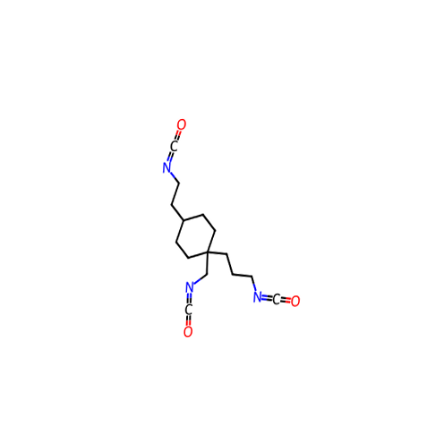 O=C=NCCCC1(CN=C=O)CCC(CCN=C=O)CC1